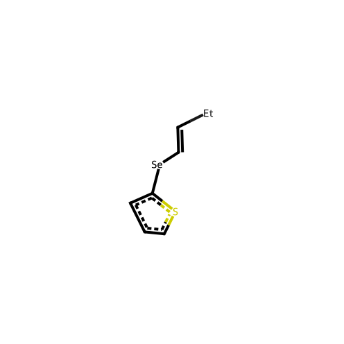 CCC=C[Se]c1cccs1